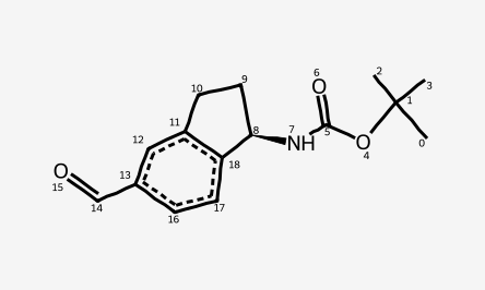 CC(C)(C)OC(=O)N[C@@H]1CCc2cc(C=O)ccc21